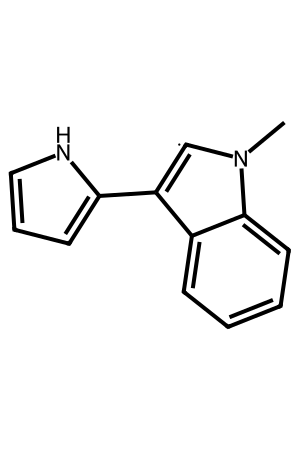 Cn1[c]c(-c2ccc[nH]2)c2ccccc21